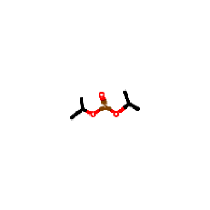 CC(C)OS(=O)OC(C)C